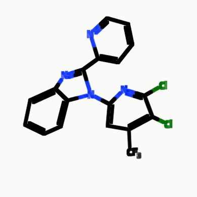 FC(F)(F)c1cc(-n2c(-c3ccccn3)nc3ccccc32)nc(Cl)c1Cl